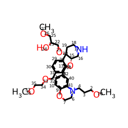 COCCCN1CCOc2ccc(CO[C@H]3CNCC[C@]3(OC[C@@H](O)COC)c3ccc(COCCOC)cc3)cc21